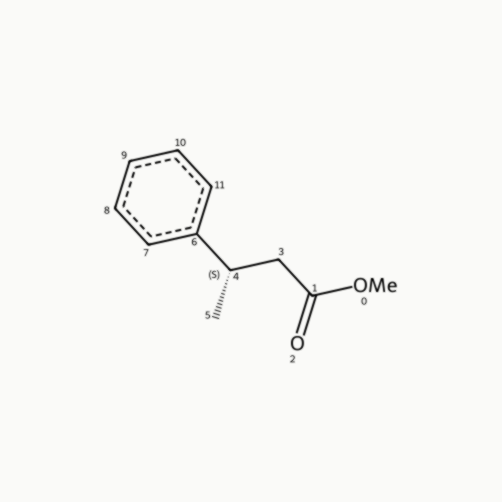 COC(=O)C[C@H](C)c1ccccc1